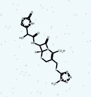 Cn1nnnc1SCC1=C(C(=O)O)N2C(=O)C(NC(=O)C(O)c3csc(=O)[nH]3)[C@H]2SC1